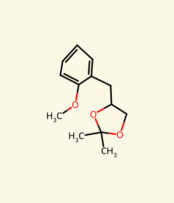 COc1ccccc1CC1COC(C)(C)O1